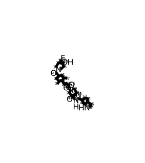 Cc1cc(C(=O)N2CCC(O)(CF)CC2)cc(C)c1C=CS(=O)(=O)N1CCC2(CC1)N=C(c1ccc3cc[nH]c3c1)NC2=O